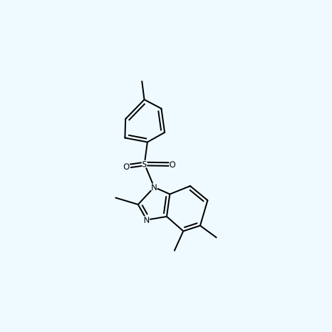 Cc1ccc(S(=O)(=O)n2c(C)nc3c(C)c(C)ccc32)cc1